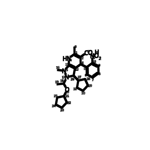 CC1=C(C(=O)O)C(c2ccccc2[N+](=O)[O-])C2=C(N1)N(C)N(C(C)OC1CCCC1)C2C1CCCC1